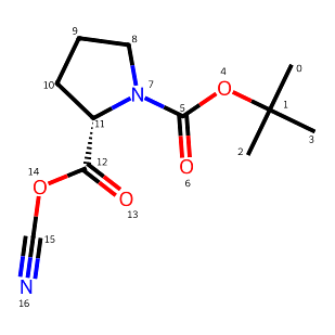 CC(C)(C)OC(=O)N1CCC[C@H]1C(=O)OC#N